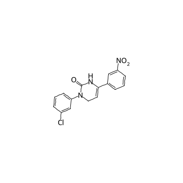 O=C1NC(c2cccc([N+](=O)[O-])c2)=CCN1c1cccc(Cl)c1